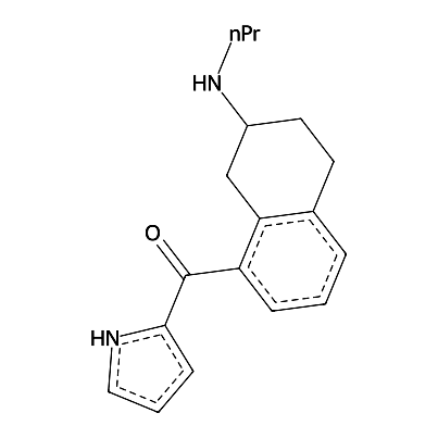 CCCNC1CCc2cccc(C(=O)c3ccc[nH]3)c2C1